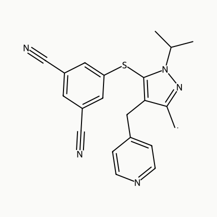 [CH2]c1nn(C(C)C)c(Sc2cc(C#N)cc(C#N)c2)c1Cc1ccncc1